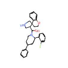 OC(C1CNCC12CCOc1ccccc12)N1CCC(c2ccccc2)CC1c1ccccc1F